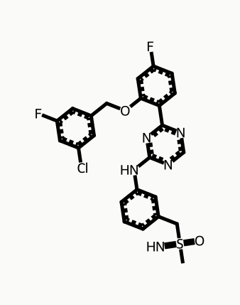 CS(=N)(=O)Cc1cccc(Nc2ncnc(-c3ccc(F)cc3OCc3cc(F)cc(Cl)c3)n2)c1